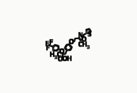 Cc1oc(-c2cccs2)nc1CCOc1ccc(C[C@](C)(Oc2ccc(C(F)(F)F)cc2)C(=O)O)cc1